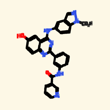 O=C(Nc1cccc(-c2nc(Nc3ccc4c(cnn4C(=O)O)c3)c3cc(O)ccc3n2)c1)c1cccnc1